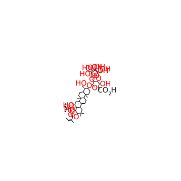 C/C=C(/C)C(=O)O[C@H]1[C@H](OC(=O)/C(C)=C\C)[C@@]2(CO)C(CC1(C)C)C1=CCC3[C@@]4(C)CC[C@H](O[C@@H]5OC(C(=O)O)[C@@H](O)[C@@H](O[C@@H]6O[C@@H](CO)[C@@H](O)C6O)C5O[C@@H]5OC(CO)[C@@H](O)[C@@H](O)C5O)[C@H](CO)C4CC[C@@]3(C)[C@]1(C)C[C@H]2O